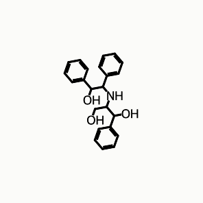 OCC(NC(c1ccccc1)C(O)c1ccccc1)C(O)c1ccccc1